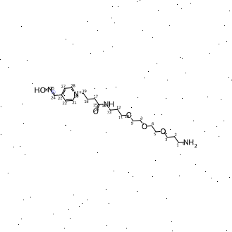 NCCCOCCOCCOCCCNC(=O)CCC[n+]1ccc(/C=N/O)cc1